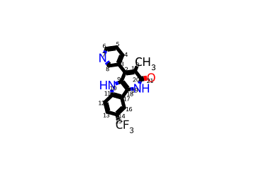 Cc1c(-c2cccnc2)c2[nH]c3ccc(C(F)(F)F)cc3c2[nH]c1=O